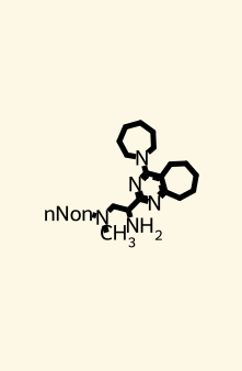 CCCCCCCCCN(C)CC(N)c1nc2c(c(N3CCCCCC3)n1)CCCCC2